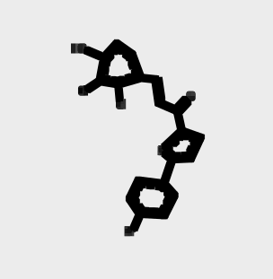 O=C(/C=C/c1ccc(O)c(Cl)c1Cl)c1ccc(-c2ccc(Br)cc2)s1